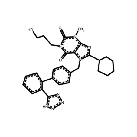 Cn1c(=O)n(CCCO)c(=O)c2c1nc(C1CCCCC1)n2Cc1ccc(-c2ccccc2-c2nnn[nH]2)cc1